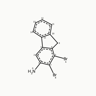 Nc1cc2c(c(Br)c1Br)Cc1ccccc1-2